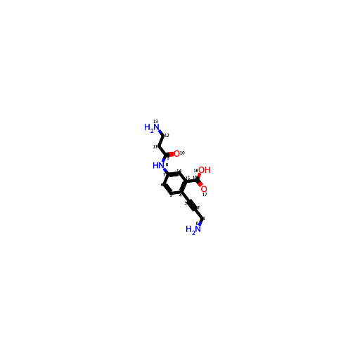 NCC#Cc1ccc(NC(=O)CCN)cc1C(=O)O